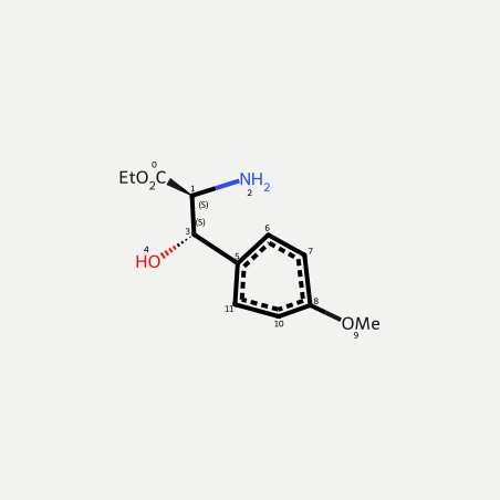 CCOC(=O)[C@@H](N)[C@@H](O)c1ccc(OC)cc1